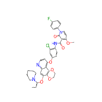 CCC(Oc1cc2nccc(Oc3ccc(NC(=O)c4c(OC)ccn(-c5ccc(F)cc5)c4=O)c(Cl)c3)c2c2c1OCCO2)N1CCCCC1